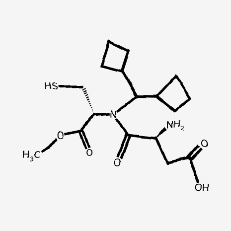 COC(=O)[C@H](CS)N(C(=O)[C@@H](N)CC(=O)O)C(C1CCC1)C1CCC1